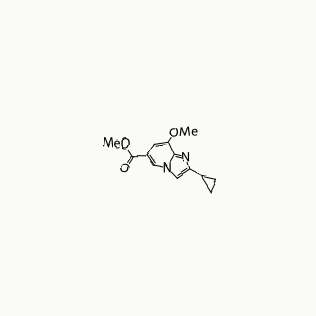 COC(=O)c1cc(OC)c2nc(C3CC3)cn2c1